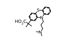 CN(C)CCCN1c2ccccc2Sc2ccc(C(C)(C)C(=O)O)cc21